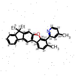 CCC1(CC)c2ccccc2-c2cc3c(cc21)oc1c(-c2cc(C)ccn2)c(C)ccc13